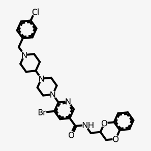 O=C(NCC1COc2ccccc2O1)c1cnc(N2CCN(C3CCN(Cc4ccc(Cl)cc4)CC3)CC2)c(Br)c1